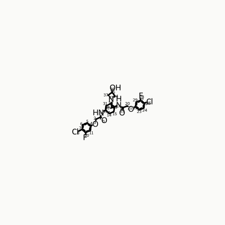 O=C(COc1ccc(Cl)c(F)c1)NC12CCC(NC(=O)COc3ccc(Cl)c(F)c3)(CC1)C(N1CC(O)C1)C2